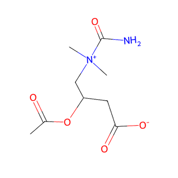 CC(=O)OC(CC(=O)[O-])C[N+](C)(C)C(N)=O